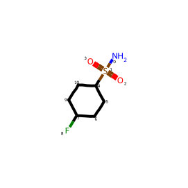 NS(=O)(=O)C1CCC(F)CC1